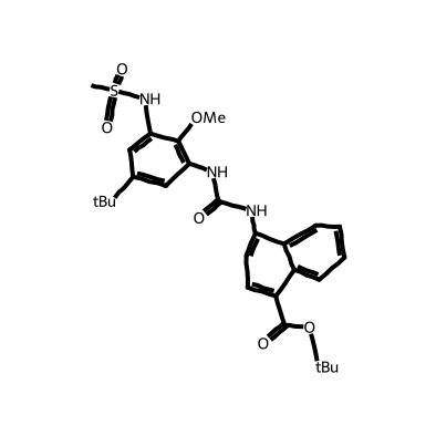 COc1c(NC(=O)Nc2ccc(C(=O)OC(C)(C)C)c3ccccc23)cc(C(C)(C)C)cc1NS(C)(=O)=O